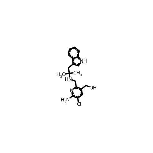 CC(C)(Cc1c[nH]c2ccccc12)NCc1nc(N)c(Cl)cc1CO